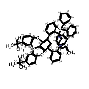 C=C/C=C\C=C1/c2c(-c3cc(-c4ccccc4-c4ccccc4)c4c5c3Oc3ccc(C(C)(C)C)cc3B5c3cc(C(C)(C)C)ccc3O4)cccc2[Si]1(c1ccccc1)c1ccccc1